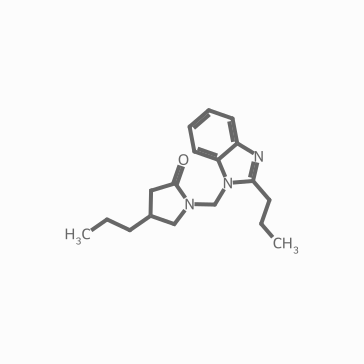 CCCc1nc2ccccc2n1CN1CC(CCC)CC1=O